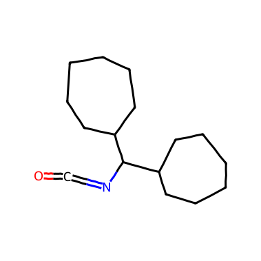 O=C=NC(C1CCCCCC1)C1CCCCCC1